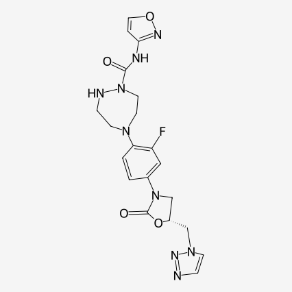 O=C(Nc1ccon1)N1CCN(c2ccc(N3C[C@H](Cn4ccnn4)OC3=O)cc2F)CCN1